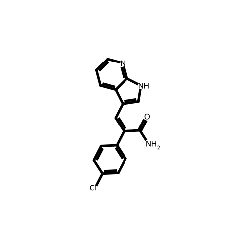 NC(=O)/C(=C\c1c[nH]c2ncccc12)c1ccc(Cl)cc1